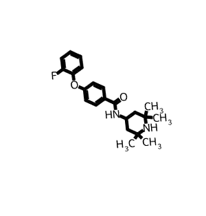 CC1(C)CC(NC(=O)c2ccc(Oc3ccccc3F)cc2)CC(C)(C)N1